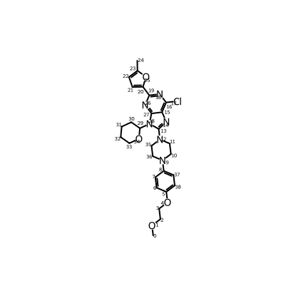 COCCOc1ccc(N2CCN(c3nc4c(Cl)nc(-c5ccc(C)o5)nc4n3C3CCCCO3)CC2)cc1